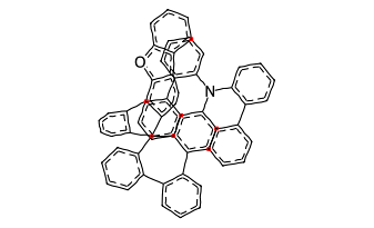 c1ccc(-c2ccccc2N(c2ccc3c(c2)C2(c4ccccc4-c4ccccc4-3)c3ccccc3-c3c2ccc2c3oc3ccccc32)c2ccccc2-c2ccccc2)cc1